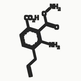 C=CCc1ccc(C(=O)O)c(C(=O)ON)c1N